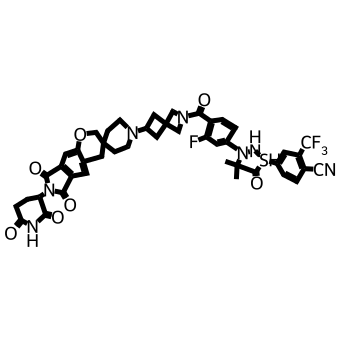 CC1(C)C(=O)[SH](c2ccc(C#N)c(C(F)(F)F)c2)NN1c1ccc(C(=O)N2CC3(CC(N4CCC5(CC4)COc4cc6c(cc4C5)C(=O)N(C4CCC(=O)NC4=O)C6=O)C3)C2)c(F)c1